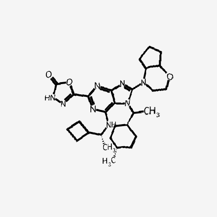 CC([C@H]1CC[C@H](C)CC1)n1c(N2CCOC3CCCC32)nc2nc(-c3n[nH]c(=O)o3)nc(N[C@H](C)C3CCC3)c21